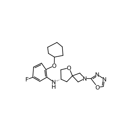 Fc1ccc(OC2CCCCC2)c(N[C@@H]2COC3(C2)CN(c2nnco2)C3)c1